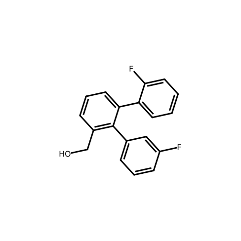 OCc1cccc(-c2ccccc2F)c1-c1cccc(F)c1